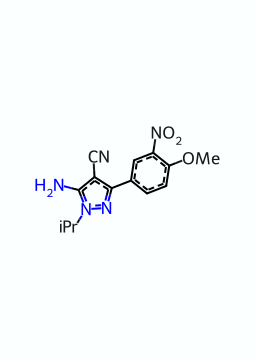 COc1ccc(-c2nn(C(C)C)c(N)c2C#N)cc1[N+](=O)[O-]